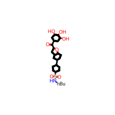 CCCCNS(=O)(=O)c1ccc(-c2ccc3oc(C(=O)c4cc(O)c(O)c(O)c4)cc3c2)cc1